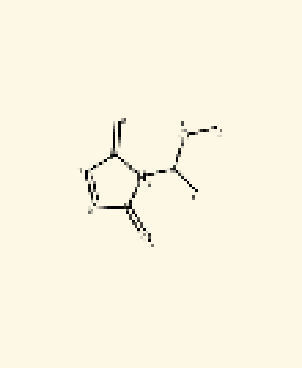 C=C1C=CC(=O)N1C(C)OC